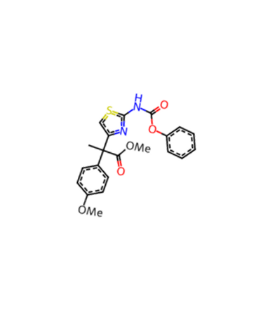 COC(=O)C(C)(c1ccc(OC)cc1)c1csc(NC(=O)Oc2ccccc2)n1